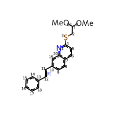 COC(CSc1ccc2ccc(/C=C/c3ccccc3)cc2n1)OC